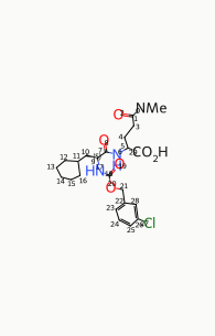 CNC(=O)CCC(NC(=O)[C@H](CC1CCCCC1)NC(=O)OCc1cccc(Cl)c1)C(=O)O